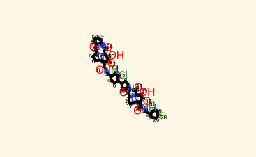 O=C(NCc1ccc(C2CC3CC2OC2C4CCc5c(C(=O)NCc6ccc(F)cc6F)c(=O)c(O)c(n54)C(=O)N32)c(Cl)c1F)c1c2n3c(c(O)c1=O)C(=O)N1C4CCC(C4)OC1C3CC2